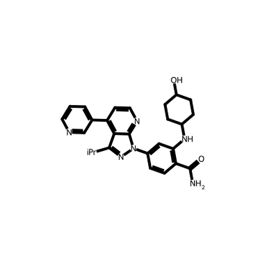 CC(C)c1nn(-c2ccc(C(N)=O)c(NC3CCC(O)CC3)c2)c2nccc(-c3cccnc3)c12